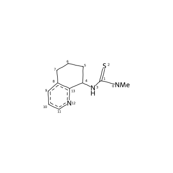 CNC(=S)NC1CCCc2cccnc21